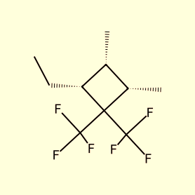 CC[C@@H]1[C@H](C)[C@H](C)C1(C(F)(F)F)C(F)(F)F